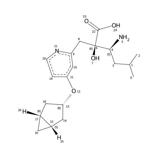 CC(C)C[C@H](N)[C@](O)(Cc1cc(O[C@@H]2C[C@@H]3C[C@@H]3C2)ccn1)C(=O)O